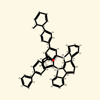 CC1C=CC=CC1c1ccc(-c2cc(-c3ccc(-c4ccccc4)cc3)cc(-n3c4ccccc4c4ccc5c6ccccc6n(-c6ccccc6)c5c43)c2)cc1